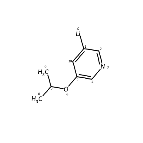 [Li][c]1cncc(OC(C)C)c1